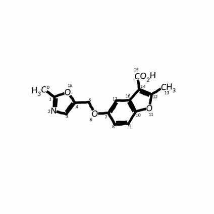 Cc1ncc(COc2ccc3oc(C)c(C(=O)O)c3c2)o1